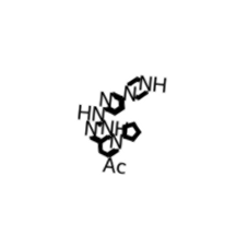 CC(=O)C1=CN(C2CCCC2)C2NC(Nc3ccc(N4CCNCC4)cn3)=NC=C2C1